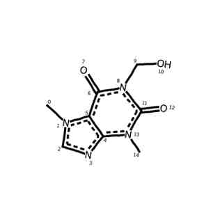 Cn1cnc2c1c(=O)n(CO)c(=O)n2C